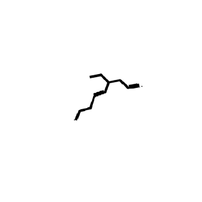 [CH]=CCC(C=CCCC)CC